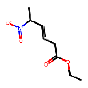 CCOC(=O)CC=CC(C)[N+](=O)[O-]